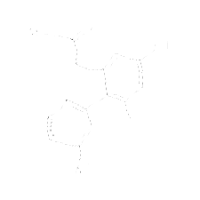 COC(=O)Cc1cc(O)cc(O)c1-c1cccc([N+](=O)[O-])c1